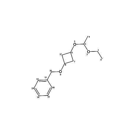 CCOC(C)OC1CC(OCc2ccccc2)C1